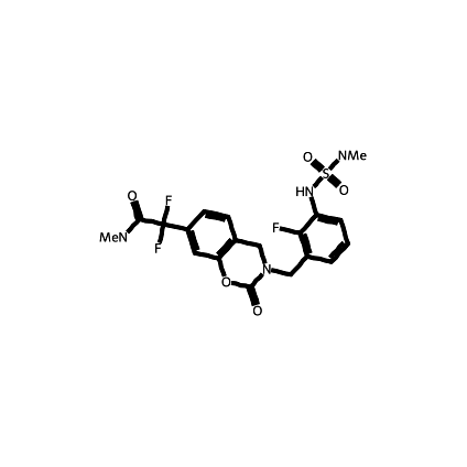 CNC(=O)C(F)(F)c1ccc2c(c1)OC(=O)N(Cc1cccc(NS(=O)(=O)NC)c1F)C2